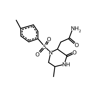 Cc1ccc(S(=O)(=O)N2CC(C)NC(=O)C2CC(N)=O)cc1